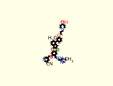 Cc1c(OCCCN2CCC(O)CC2)cccc1-c1cccc2c1CC[C@@H]2Oc1cc(OCc2cncc(C#N)c2)c(CNCc2cn(C)cn2)cc1Cl